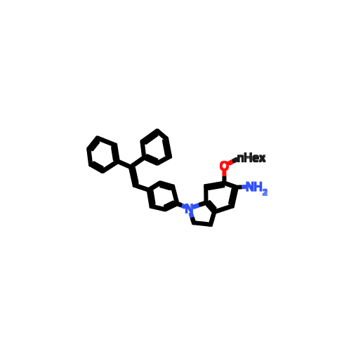 CCCCCCOc1cc2c(cc1N)CCN2c1ccc(C=C(c2ccccc2)c2ccccc2)cc1